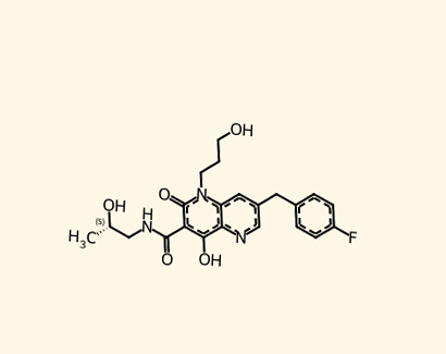 C[C@H](O)CNC(=O)c1c(O)c2ncc(Cc3ccc(F)cc3)cc2n(CCCO)c1=O